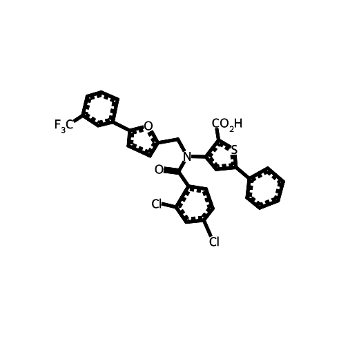 O=C(O)c1sc(-c2ccccc2)cc1N(Cc1ccc(-c2cccc(C(F)(F)F)c2)o1)C(=O)c1ccc(Cl)cc1Cl